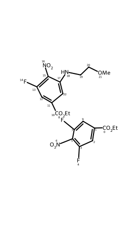 CCOC(=O)c1cc(F)c([N+](=O)[O-])c(F)c1.CCOC(=O)c1cc(F)c([N+](=O)[O-])c(NCCOC)c1